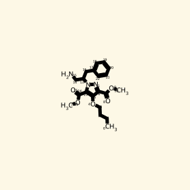 CCCCOc1c(C(=O)OC)nn(C(CN)Cc2ccccc2)c1C(=O)OC